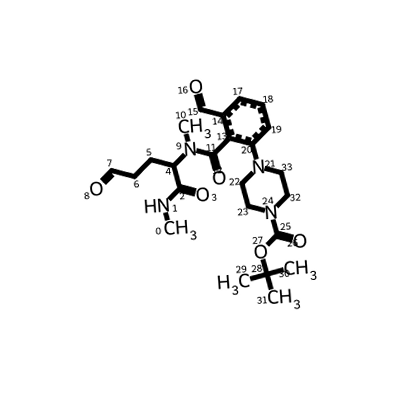 CNC(=O)C(CCC=O)N(C)C(=O)c1c(C=O)cccc1N1CCN(C(=O)OC(C)(C)C)CC1